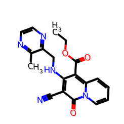 CCOC(=O)c1c(NCc2nccnc2C)c(C#N)c(=O)n2ccccc12